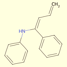 C=CC=C(Nc1ccccc1)c1ccccc1